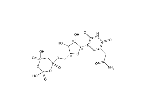 NC(=O)Cc1cn([C@@H]2O[C@H](COP3(=O)CP(=O)(O)OP(=O)(O)O3)C(O)[C@@H]2O)c(=O)[nH]c1=O